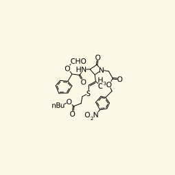 CCCCOC(=O)CCSC=C(C)C1C(NC(=O)C(OC=O)c2ccccc2)C(=O)N1CC(=O)OCc1ccc([N+](=O)[O-])cc1